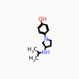 CC(C)NC1CCN(c2ccc(O)cc2)C1